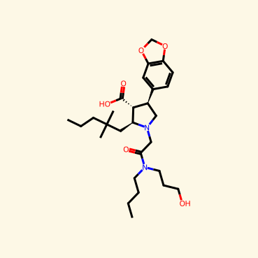 CCCCN(CCCO)C(=O)CN1C[C@H](c2ccc3c(c2)OCO3)[C@@H](C(=O)O)[C@@H]1CC(C)(C)CCC